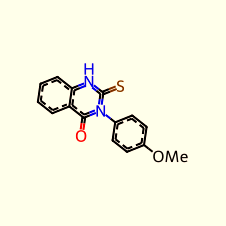 COc1ccc(-n2c(=S)[nH]c3ccccc3c2=O)cc1